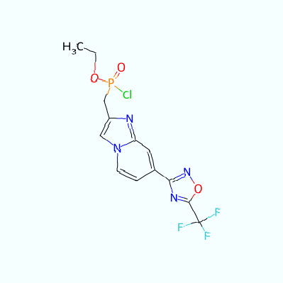 CCOP(=O)(Cl)Cc1cn2ccc(-c3noc(C(F)(F)F)n3)cc2n1